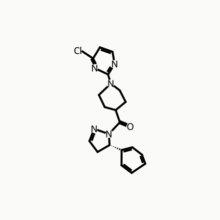 O=C(C1CCN(c2nccc(Cl)n2)CC1)N1N=CC[C@H]1c1ccccc1